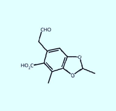 Cc1c2c(cc(CC=O)c1C(=O)O)OC(C)O2